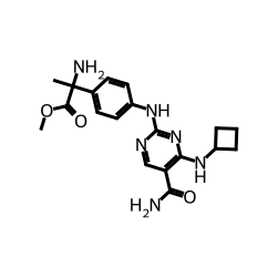 COC(=O)C(C)(N)c1ccc(Nc2ncc(C(N)=O)c(NC3CCC3)n2)cc1